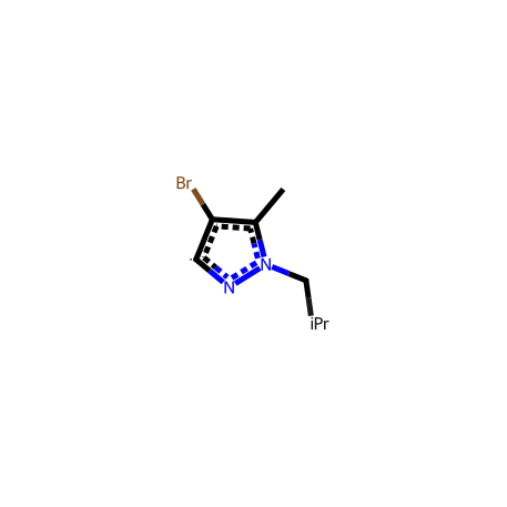 Cc1c(Br)[c]nn1CC(C)C